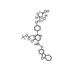 C[C@@H](Nc1cnc(-c2ccc(O[C@@H]3CO[C@H]4[C@@H]3OC[C@H]4O)cc2)n(CC(=O)OC(C)(C)C)c1=O)c1ccc2oc3ccccc3c2c1